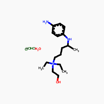 CC[N+](CC)(CCO)CCCC(C)Nc1ccc(N)cc1.Cl.Cl.O.[Cl-]